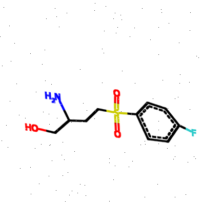 NC(CO)CCS(=O)(=O)c1ccc(F)cc1